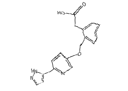 O=C(O)Cc1ccccc1COc1ccc(-c2ccn[nH]2)nc1